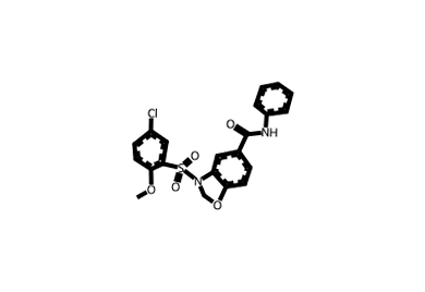 COc1ccc(Cl)cc1S(=O)(=O)N1COc2ccc(C(=O)Nc3ccccc3)cc21